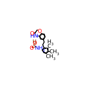 Cc1ccc(CCc2ccc3c(c2)NC(=O)CO3)c(C)c1C.N[SH](=O)=O